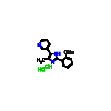 COc1ccccc1-c1nc(C)c(-c2cccnc2)[nH]1.Cl.Cl